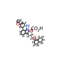 O=C(O)Oc1[nH]c2c(-c3cccc(OC(F)(F)F)c3)cccc2c1CCCOc1cccc2ccccc12